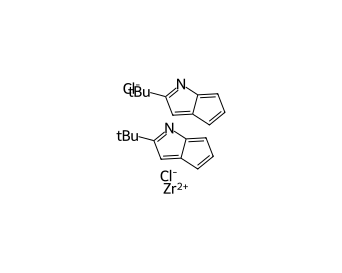 CC(C)(C)C1=NC2=CC=CC2=C1.CC(C)(C)C1=NC2=CC=CC2=C1.[Cl-].[Cl-].[Zr+2]